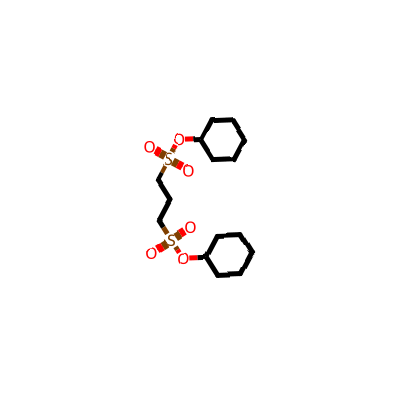 O=S(=O)(CCCS(=O)(=O)OC1CCCCC1)OC1CCCCC1